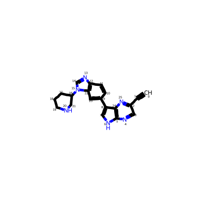 C#Cc1cnc2[nH]cc(-c3ccc4ncn(C5CCCNC5)c4c3)c2n1